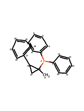 CC1(P(c2ccccc2)c2ccccc2)CC1c1ccccc1